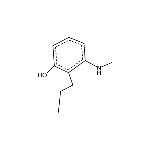 CCCc1c(O)cccc1NC